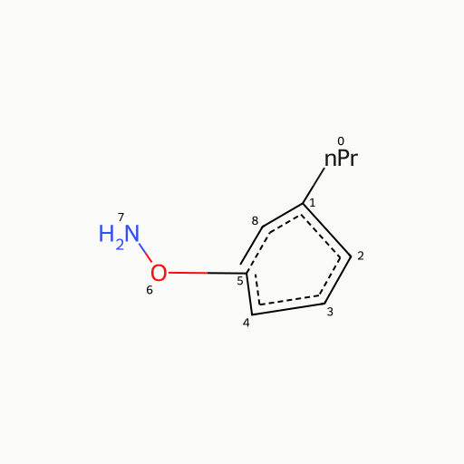 CCCc1cccc(ON)c1